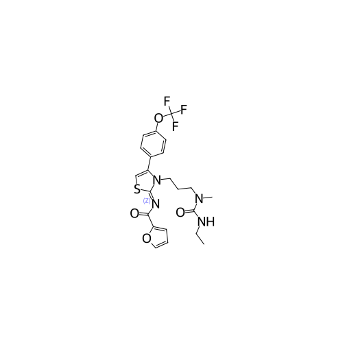 CCNC(=O)N(C)CCCn1c(-c2ccc(OC(F)(F)F)cc2)cs/c1=N\C(=O)c1ccco1